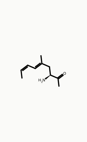 C/C=C\C=C(/C)C[C@H](N)C(C)=O